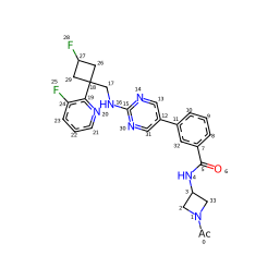 CC(=O)N1CC(NC(=O)c2cccc(-c3cnc(NCC4(c5ncccc5F)CC(F)C4)nc3)c2)C1